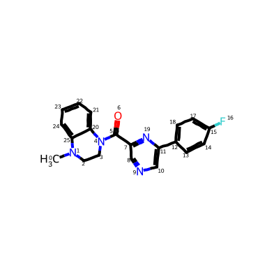 CN1CCN(C(=O)c2cncc(-c3ccc(F)cc3)n2)c2ccccc21